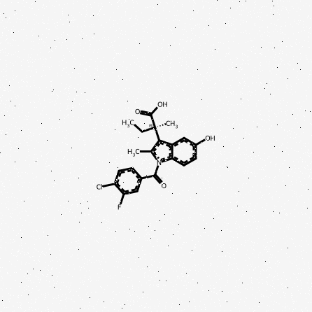 CC[C@@](C)(C(=O)O)c1c(C)n(C(=O)c2ccc(Cl)c(F)c2)c2ccc(O)cc12